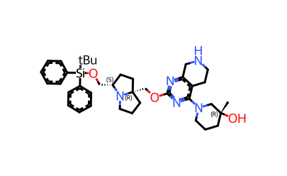 CC(C)(C)[Si](OC[C@@H]1CC[C@@]2(COc3nc4c(c(N5CCC[C@@](C)(O)C5)n3)CCNC4)CCCN12)(c1ccccc1)c1ccccc1